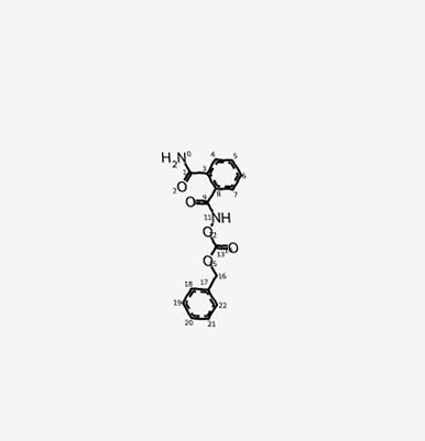 NC(=O)c1ccccc1C(=O)NOC(=O)OCc1ccccc1